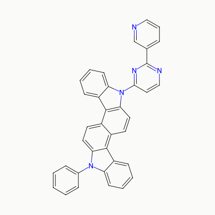 c1ccc(-n2c3ccccc3c3c4ccc5c(c4ccc32)c2ccccc2n5-c2ccnc(-c3cccnc3)n2)cc1